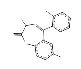 O=C1Nc2ccc(Cl)cc2C(c2ccccc2Cl)=NC1F